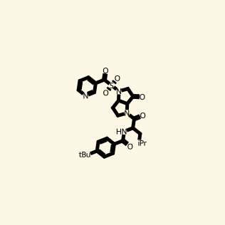 CC(C)CC(NC(=O)c1ccc(C(C)(C)C)cc1)C(=O)N1CCC2C1C(=O)CN2S(=O)(=O)C(=O)c1cccnc1